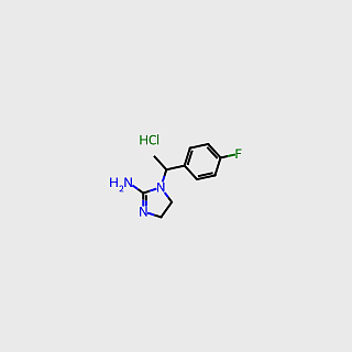 CC(c1ccc(F)cc1)N1CCN=C1N.Cl